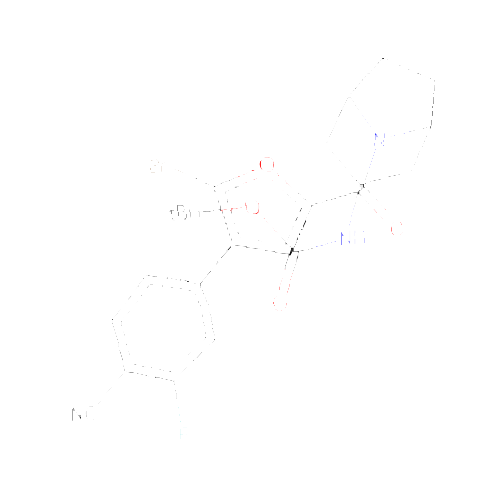 CC(C)(C)OC(=O)NC1CC2CCC(C1)N2C(=O)c1cc(-c2ccc(C#N)c(F)c2)c(Br)o1